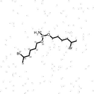 CC(Br)CCCCOP(N)OCCCCC(C)Br